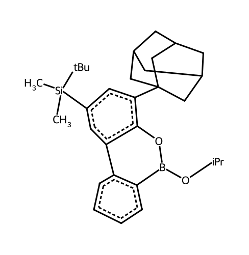 CC(C)OB1Oc2c(cc([Si](C)(C)C(C)(C)C)cc2C23CC4CC(CC(C4)C2)C3)-c2ccccc21